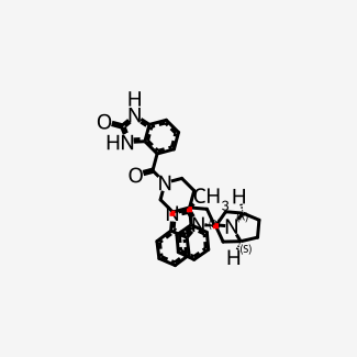 Cc1nc2ccccc2n1[C@H]1C[C@H]2CC[C@@H](C1)N2CCC1(c2ccccc2)CCN(C(=O)c2cccc3[nH]c(=O)[nH]c23)CC1